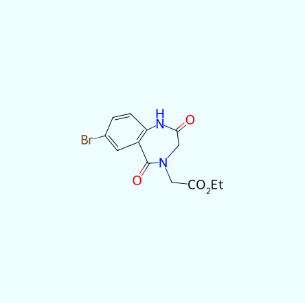 CCOC(=O)CN1CC(=O)Nc2ccc(Br)cc2C1=O